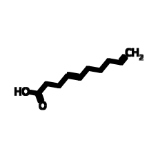 C=CCCCC=CCCC(=O)O